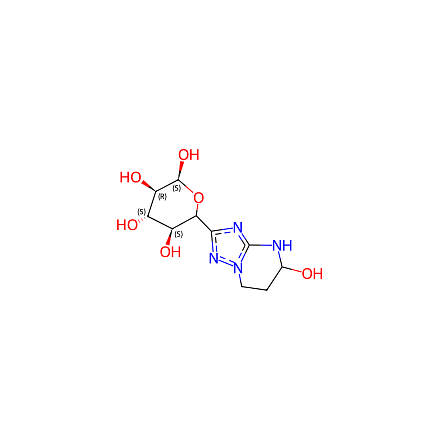 OC1CCn2nc(C3O[C@H](O)[C@H](O)[C@@H](O)[C@@H]3O)nc2N1